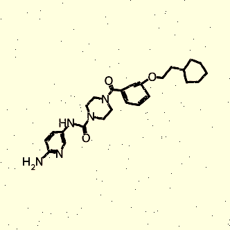 Nc1ccc(NC(=O)N2CCN(C(=O)c3cccc(OCCC4CCCCC4)c3)CC2)cn1